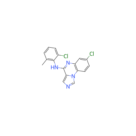 Cc1cccc(Cl)c1Nc1nc2cc(Cl)ccc2n2cncc12